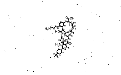 Cc1nc(N2CCC(C(C)(C)C)CC2)nc(N)c1C(=O)NCC(=O)N(C)[C@@H]1C(=O)N[C@@H](C)C(=O)N[C@H](C(=O)O)Cc2ccc(OCCCN)c(c2)-c2cc1cc(OCCCN)c2O